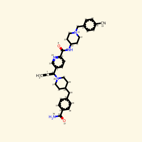 C=C=C(c1ccc(C(=O)NC2CCN(Cc3ccc(C#N)cc3)CC2)nc1)N1CCC(Cc2ccc(C(N)=O)cc2)CC1